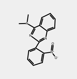 CN(C)c1nc(-c2ccccc2[N+](=O)[O-])nc2ccccc12